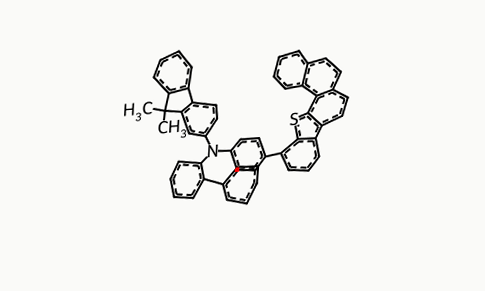 CC1(C)c2ccccc2-c2ccc(N(c3ccc(-c4cccc5c4sc4c5ccc5ccc6ccccc6c54)cc3)c3ccccc3-c3ccccc3)cc21